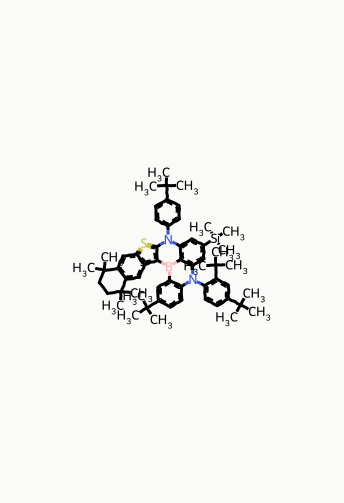 CC(C)(C)c1ccc(N2c3cc([Si](C)(C)C)cc4c3B(c3cc(C(C)(C)C)ccc3N4c3ccc(C(C)(C)C)cc3C(C)(C)C)c3c2sc2cc4c(cc32)C(C)(C)CCC4(C)C)cc1